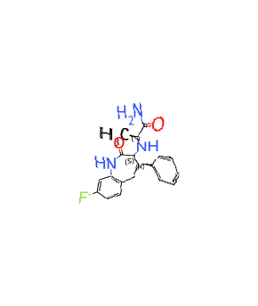 C[C@H](N[C@@H]1C(=O)Nc2cc(F)ccc2C[C@@H]1c1ccccc1)C(N)=O